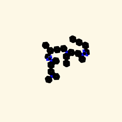 c1ccc(-c2ccc(-c3cccc(-c4ccnc(-n5c6ccccc6c6cc(-c7ccc8c(c7)c7cc(-c9ccccc9)ccc7n8-c7cccc(-c8ccc(-c9cc(-c%10ccccc%10)cc(-c%10ccnc(-n%11c%12ccccc%12c%12cc(-c%13ccc%14c(c%13)c%13ccccc%13n%14-c%13ccccc%13)ccc%12%11)n%10)c9)cc8)c7)ccc65)n4)c3)cc2)cc1